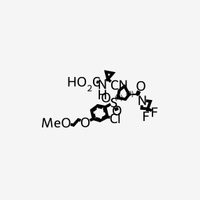 COCCOc1ccc(S(=O)(=O)[C@@H]2CC[C@@H](C(=O)N3CC(F)(F)C3)C2)c(Cl)c1.N#CC1(NC(=O)O)CC1